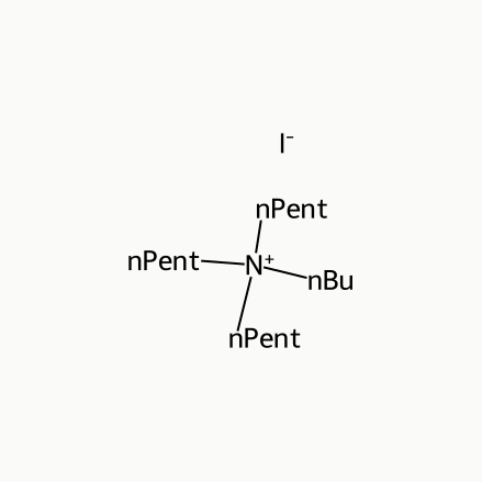 CCCCC[N+](CCCC)(CCCCC)CCCCC.[I-]